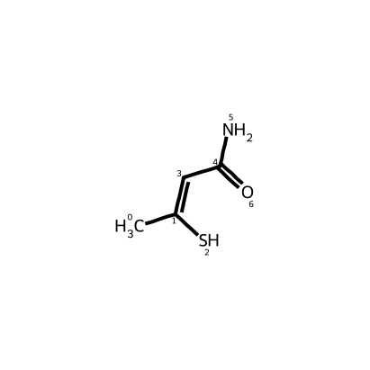 C/C(S)=C/C(N)=O